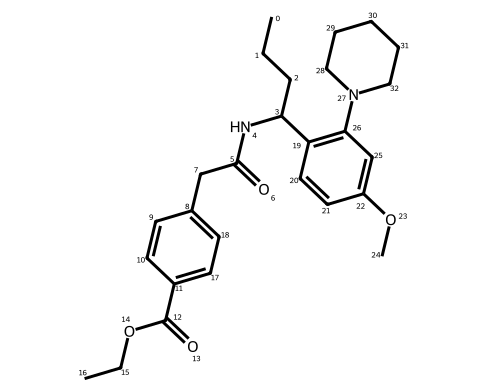 CCCC(NC(=O)Cc1ccc(C(=O)OCC)cc1)c1ccc(OC)cc1N1CCCCC1